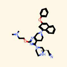 CN(C)CCOc1nc2c(c(N3CCN[C@@H](CC#N)C3)n1)CCN(c1cc(Oc3ccccc3)cc3ccccc13)C2